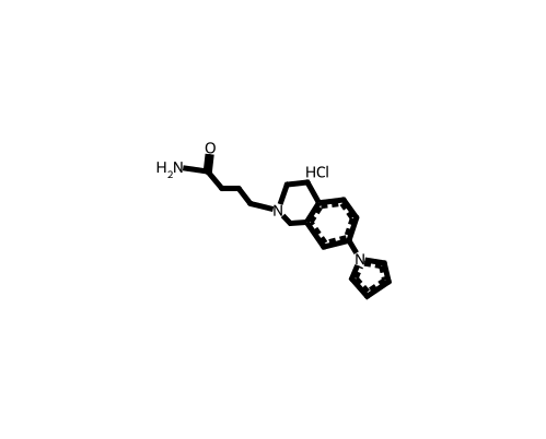 Cl.NC(=O)CCCN1CCc2ccc(-n3cccc3)cc2C1